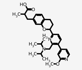 COc1cc(-c2ccc(C3CCc4ccc(CC(C)C(=O)O)cc4O3)nc2CN(C(C)C)C(C)C)ccn1